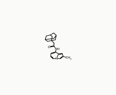 Cc1cc2c(NC(=O)CC34CC5CC(CC(C5)C3)C4)cccn2c1